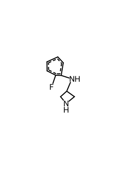 Fc1ccccc1NC1CNC1